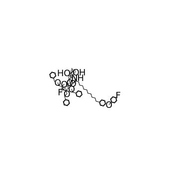 C[C@@H](O)[C@@H](O)[C@H](CO[C@H]1OC(COCc2ccccc2)[C@@H](F)C(OCc2ccccc2)C1OCc1ccccc1)NC(=O)CCCCCCCCCCc1ccc(Oc2ccc(F)cc2)cc1